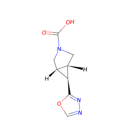 O=C(O)N1C[C@@H]2[C@H](C1)[C@H]2c1nnco1